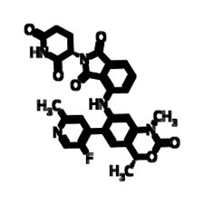 Cc1cc(-c2cc3c(cc2Nc2cccc4c2C(=O)N([C@H]2CCC(=O)NC2=O)C4=O)N(C)C(=O)O[C@@H]3C)c(F)cn1